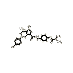 CC(=O)c1ccc(N2Cc3c(C(=O)NCc4ccc(NC(=O)N(C)C)cc4)nn(C(C)C)c3[C@@H](C)C2)nc1